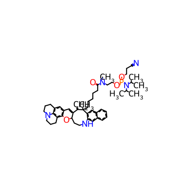 C=C1C2=Cc3cc4c5c(c3OC2CCNc2cc3ccccc3cc2C1(C)CCCCCC(=O)N(C)CCOP(OCCC#N)N(C(C)C)C(C)C)CCCN5CCC4